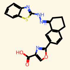 O=C(O)c1coc(-c2ccc3c(c2)/C(=N/Nc2nc4ccccc4s2)CCC3)n1